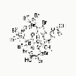 BrCC(Br)COCC(Br)CBr.BrCC(Br)COCC(Br)CBr.CC(C)(c1ccc(OC(=O)O)cc1)c1c(Br)c(Br)c(O)c(Br)c1Br